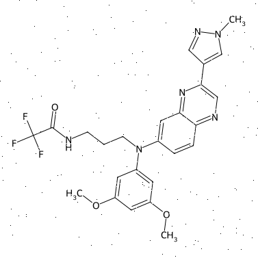 COc1cc(OC)cc(N(CCCNC(=O)C(F)(F)F)c2ccc3ncc(-c4cnn(C)c4)nc3c2)c1